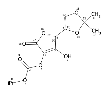 CC(C)OC(=O)OC1=C(O)[C@@H]([C@@H]2COC(C)(C)O2)OC1=O